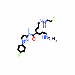 CN\C=C/C=C(\C=C\C=N/NCCF)C(=O)Nc1ccn(-c2ccc(F)cc2)n1